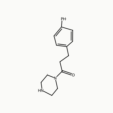 O=C(CCc1ccc([PH])cc1)N1[CH]CNCC1